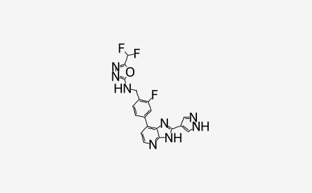 Fc1cc(-c2ccnc3[nH]c(-c4cn[nH]c4)nc23)ccc1CNc1nnc(C(F)F)o1